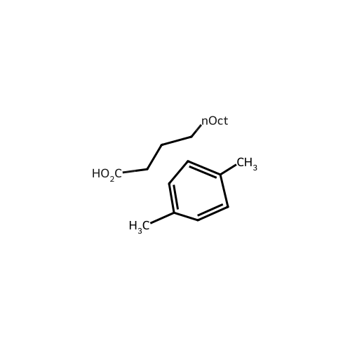 CCCCCCCCCCCC(=O)O.Cc1ccc(C)cc1